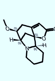 CO[C@H]1CC2=CC(=O)O[C@@]23C[C@@H]1N1CCCC[C@@H]13